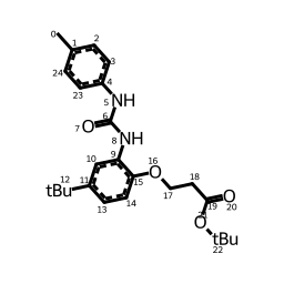 Cc1ccc(NC(=O)Nc2cc(C(C)(C)C)ccc2OCCC(=O)OC(C)(C)C)cc1